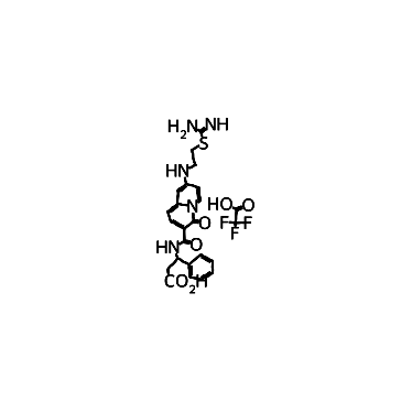 N=C(N)SCCNc1ccn2c(=O)c(C(=O)NC(CC(=O)O)c3ccccc3)ccc2c1.O=C(O)C(F)(F)F